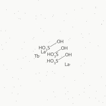 O=S(=O)(O)O.O=S(=O)(O)O.O=S(=O)(O)O.[La].[La].[Tb]